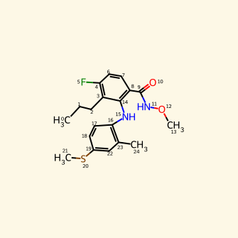 CCCc1c(F)ccc(C(=O)NOC)c1Nc1ccc(SC)cc1C